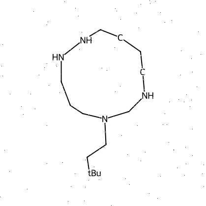 CC(C)(C)CCN1CCCNNCCCCNC1